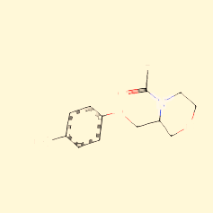 CCC(=O)N1CCOCC1COc1ccc(C(=O)O)cc1